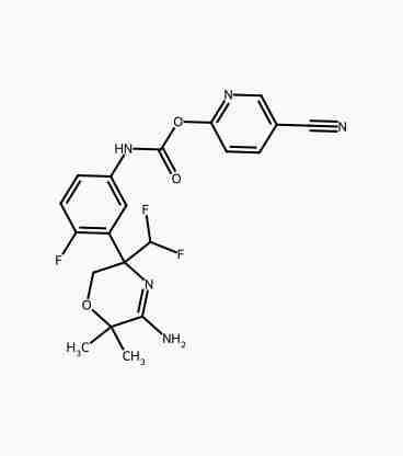 CC1(C)OCC(c2cc(NC(=O)Oc3ccc(C#N)cn3)ccc2F)(C(F)F)N=C1N